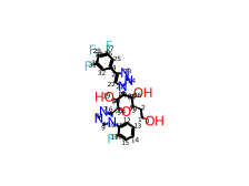 OCC[C@H]1O[C@@H](c2nncn2-c2ccccc2F)[C@H](O)[C@@H](n2cc(-c3cc(F)c(F)c(F)c3)nn2)[C@H]1O